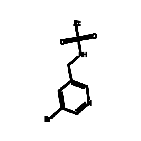 CCS(=O)(=O)NCc1cncc(Br)c1